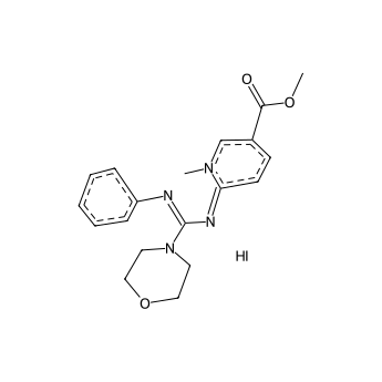 COC(=O)c1ccc(=NC(=Nc2ccccc2)N2CCOCC2)n(C)c1.I